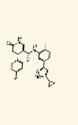 Cc1ccc(-c2cc(C3CC3)[nH]n2)cc1NC(=O)C1=CNC(=O)C[C@H]1c1ccc(F)cc1